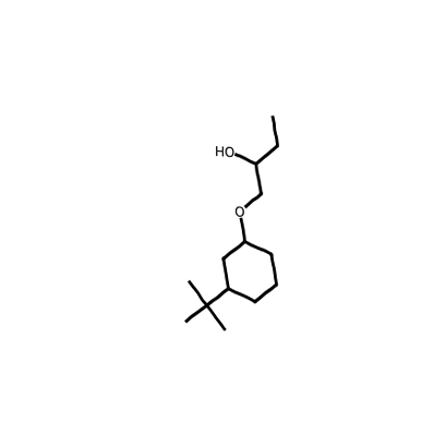 CCC(O)COC1CCCC(C(C)(C)C)C1